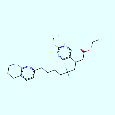 CCOC(=O)CC(CC(F)(F)CCCCc1ccc2c(n1)NCCC2)c1cnc(OC)nc1